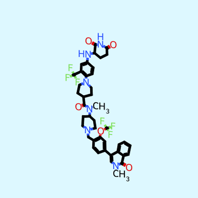 CN(C(=O)C1CCN(c2ccc(NC3CCC(=O)NC3=O)cc2C(F)(F)F)CC1)C1CCN(Cc2ccc(-c3cn(C)c(=O)c4ccccc34)cc2OC(F)(F)F)CC1